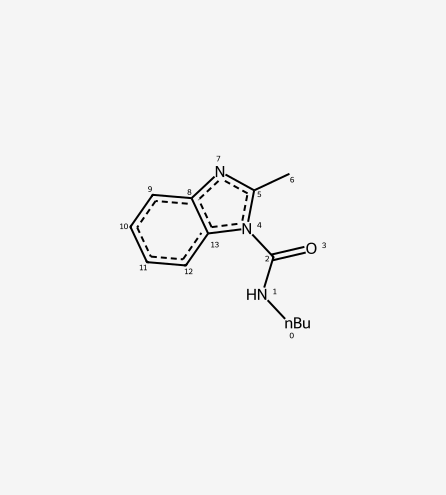 CCCCNC(=O)n1c(C)nc2ccccc21